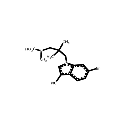 CN(CC(C)(C)Cn1cc(C#N)c2ccc(Br)cc21)C(=O)O